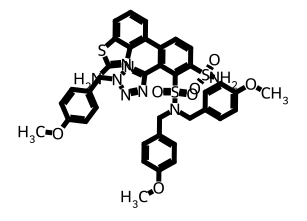 COc1ccc(CN(Cc2ccc(OC)cc2)S(=O)(=O)c2c(S(N)(=O)=O)ccc(-c3cccc4sc(N)nc34)c2-c2nnn(Cc3ccc(OC)cc3)n2)cc1